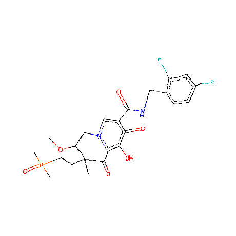 COC1Cn2cc(C(=O)NCc3ccc(F)cc3F)c(=O)c(O)c2C(=O)C1(C)CCP(C)(C)=O